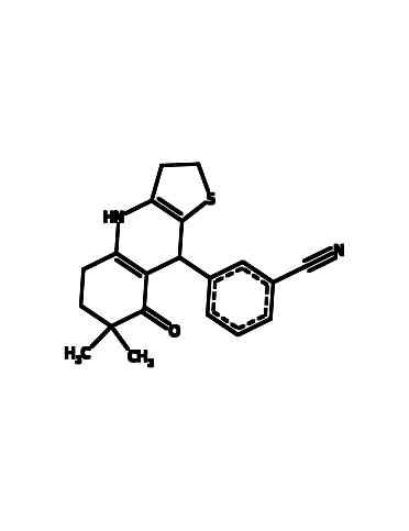 CC1(C)CCC2=C(C1=O)C(c1cccc(C#N)c1)C1=C(CCS1)N2